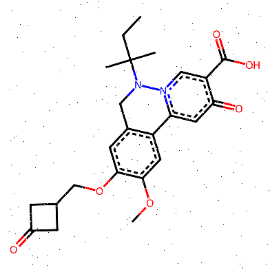 CCC(C)(C)N1Cc2cc(OCC3CC(=O)C3)c(OC)cc2-c2cc(=O)c(C(=O)O)cn21